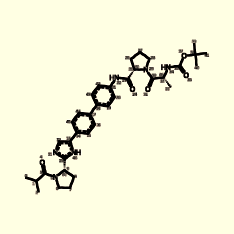 CC(C)C(=O)N1CCC[C@H]1c1ncc(-c2ccc(-c3ccc(NC(=O)[C@@H]4CCCN4C(=O)[C@@H](C)NC(=O)OC(C)(C)C)cc3)cc2)[nH]1